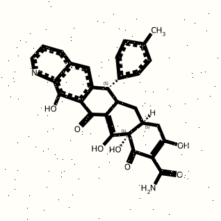 Cc1ccc([C@H]2c3cc4cccnc4c(O)c3C(=O)C3=C(O)[C@]4(O)C(=O)C(C(N)=O)=C(O)C[C@@H]4CC32)cc1